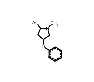 CC(=O)C1CC(Oc2ccccc2)CN1C